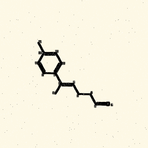 CC(=CCCC=O)c1ccc(C)cc1